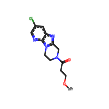 CCCOCCC(=O)N1CCn2c(nc3cc(Cl)cnc32)C1